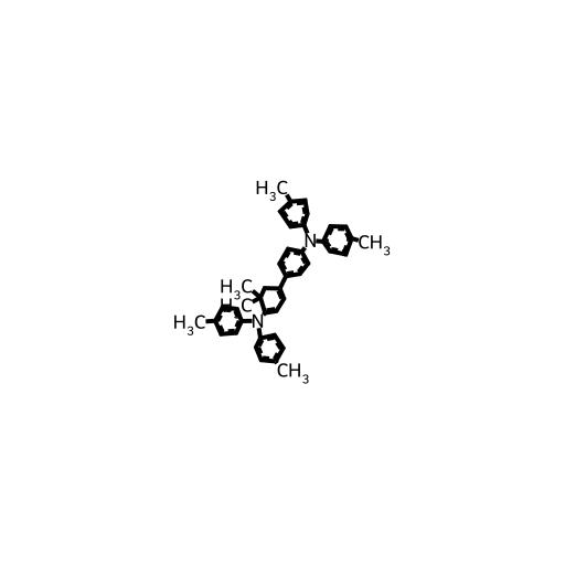 Cc1ccc(N(C2=CC=C(c3ccc(N(c4ccc(C)cc4)c4ccc(C)cc4)cc3)CC2(C)C)c2ccc(C)cc2)cc1